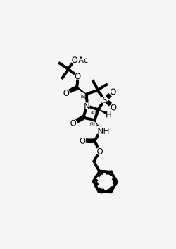 CC(=O)OC(C)(C)OC(=O)[C@@H]1N2C(=O)[C@@H](NC(=O)OCc3ccccc3)[C@H]2S(=O)(=O)C1(C)C